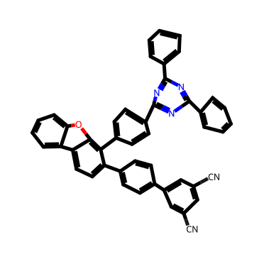 N#Cc1cc(C#N)cc(-c2ccc(-c3ccc4c(oc5ccccc54)c3-c3ccc(-c4nc(-c5ccccc5)nc(-c5ccccc5)n4)cc3)cc2)c1